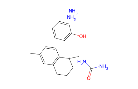 Cc1ccc2c(c1)CCCC2(C)C.N.N.NC(N)=O.Oc1ccccc1